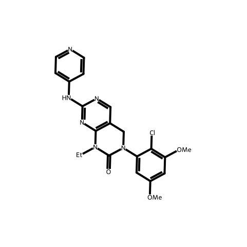 CCN1C(=O)N(c2cc(OC)cc(OC)c2Cl)Cc2cnc(Nc3ccncc3)nc21